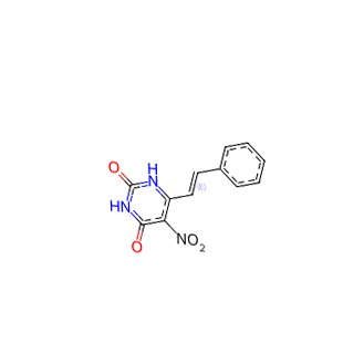 O=c1[nH]c(/C=C/c2ccccc2)c([N+](=O)[O-])c(=O)[nH]1